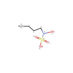 CCCCN(O)S(=O)(=O)O